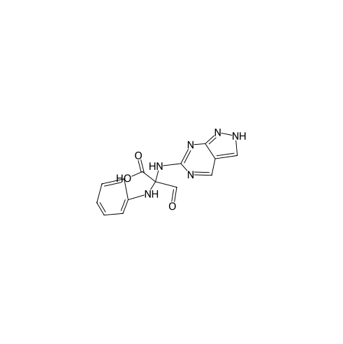 O=CC(Nc1ccccc1)(Nc1ncc2c[nH]nc2n1)C(=O)O